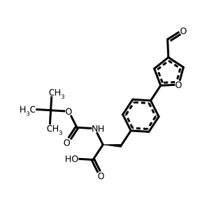 CC(C)(C)OC(=O)N[C@@H](Cc1ccc(-c2cc(C=O)co2)cc1)C(=O)O